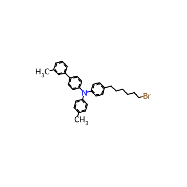 Cc1ccc(N(c2ccc(CCCCCCBr)cc2)c2ccc(-c3cccc(C)c3)cc2)cc1